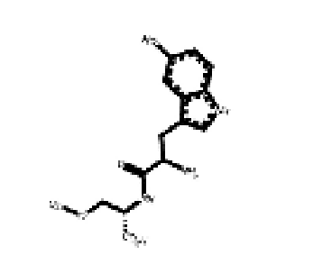 CC(C)(C)OC[C@H](NC(=O)C(N)Cc1c[nH]c2ccc(O)cc12)C(=O)O